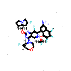 [2H]C([2H])(F)Oc1c(F)c(F)c(F)c2cc(N)cc(-c3ncc4c(N5CCOC[C@H]6[C@H](F)[C@H]65)nc(OC([2H])([2H])[C@@]56CCCN5C[C@H](F)C6)nc4c3F)c12